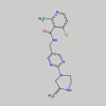 C=C1CN(c2ncc(CNC(=O)c3c(Cl)ccnc3C)cn2)CCN1